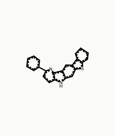 c1ccc(-c2ccc3[nH]c4cc5sc6ccccc6c5cc4c3n2)cc1